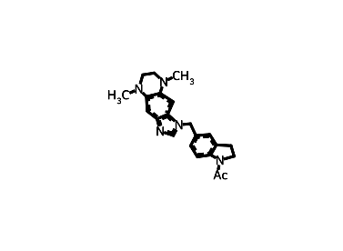 CC(=O)N1CCc2cc(Cn3cnc4cc5c(cc43)N(C)CCN5C)ccc21